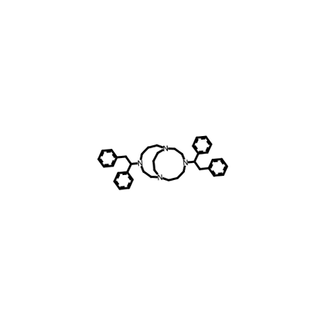 c1ccc(CC(c2ccccc2)N2CCCN3CCCN(CCCN(C(Cc4ccccc4)c4ccccc4)CC3)CC2)cc1